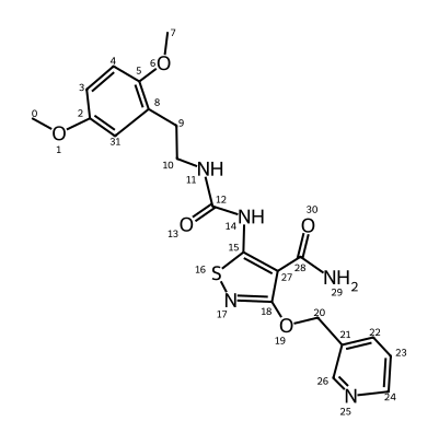 COc1ccc(OC)c(CCNC(=O)Nc2snc(OCc3cccnc3)c2C(N)=O)c1